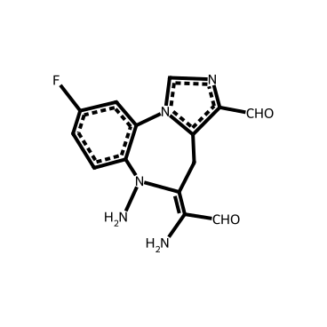 N/C(C=O)=C1/Cc2c(C=O)ncn2-c2cc(F)ccc2N1N